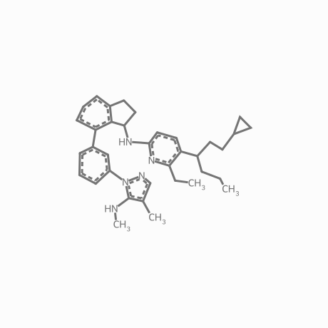 CCCC(CCC1CC1)c1ccc(NC2CCc3cccc(-c4cccc(-n5ncc(C)c5NC)c4)c32)nc1CC